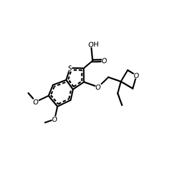 CCC1(COc2c(C(=O)O)sc3cc(OC)c(OC)cc23)COC1